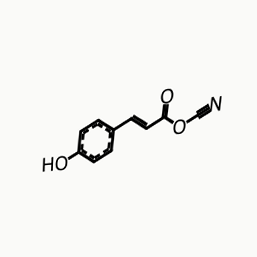 N#COC(=O)C=Cc1ccc(O)cc1